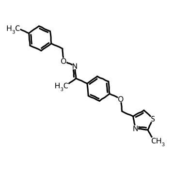 C/C(=N\OCc1ccc(C)cc1)c1ccc(OCc2csc(C)n2)cc1